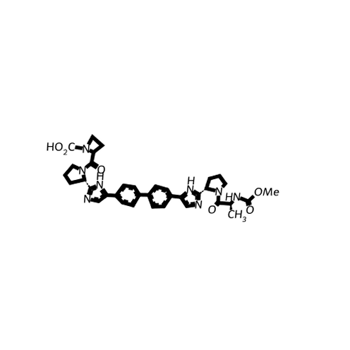 COC(=O)N[C@@H](C)C(=O)N1CCC[C@H]1c1ncc(-c2ccc(-c3ccc(-c4cnc([C@@H]5CCCN5C(=O)C5CCN5C(=O)O)[nH]4)cc3)cc2)[nH]1